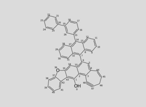 Oc1c2c3c(cc(-c4c5ccccc5c(-c5cccc(-c6ccccc6)c5)c5ccccc45)c2cc2oc4ccccc4c12)C=CCC#C3